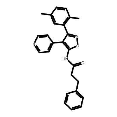 Cc1ccc(C)c(-c2noc(NC(=O)CCc3ccccc3)c2-c2ccncc2)c1